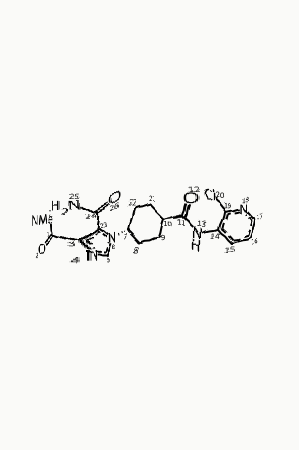 CNC(=O)c1ncn([C@H]2CC[C@H](C(=O)Nc3cccnc3Cl)CC2)c1C(N)=O